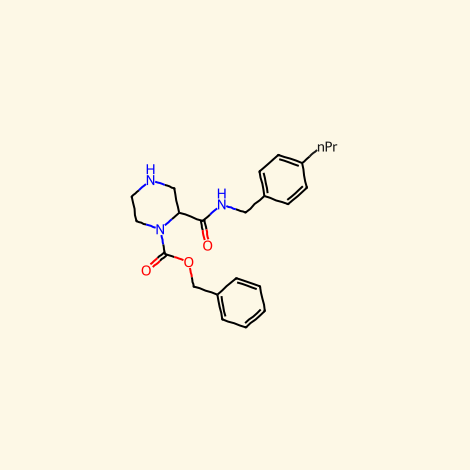 CCCc1ccc(CNC(=O)C2CNCCN2C(=O)OCc2ccccc2)cc1